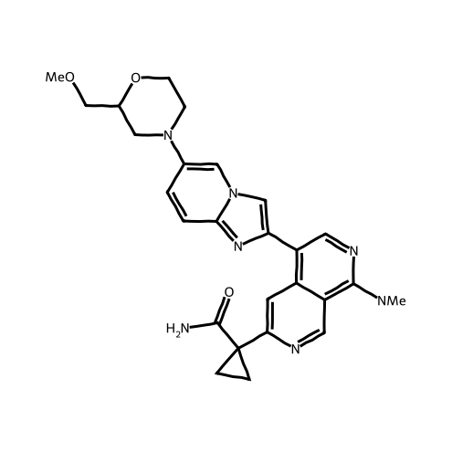 CNc1ncc(-c2cn3cc(N4CCOC(COC)C4)ccc3n2)c2cc(C3(C(N)=O)CC3)ncc12